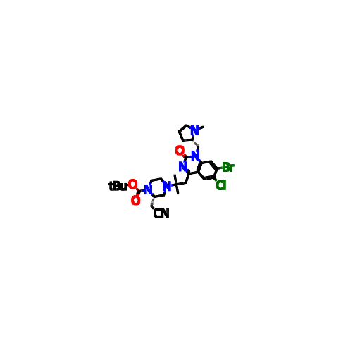 CN1CCC[C@H]1Cn1c(=O)nc(CC(C)(C)N2CCN(C(=O)OC(C)(C)C)[C@@H](CC#N)C2)c2cc(Cl)c(Br)cc21